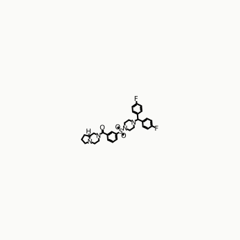 O=C(c1cccc(S(=O)(=O)N2CCN(C(c3ccc(F)cc3)c3ccc(F)cc3)CC2)c1)N1CCN2CCC[C@H]2C1